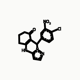 O=C1CCCC2=C1C(c1ccc(Cl)c([N+](=O)[O-])c1)n1nccc1N2